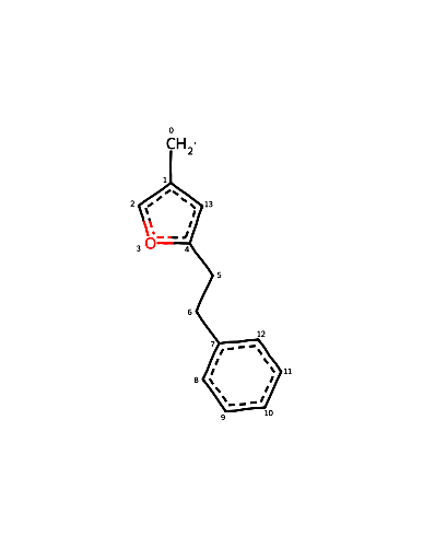 [CH2]c1coc(CCc2ccccc2)c1